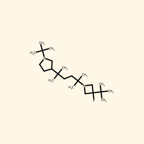 CC(C)(CCC(C)(C)N1CC(F)(C(C)(C)C)C1)C1CCN(C(C)(C)C)C1